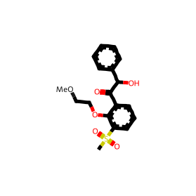 COCCOc1c(C(=O)C(O)c2ccccc2)cccc1S(C)(=O)=O